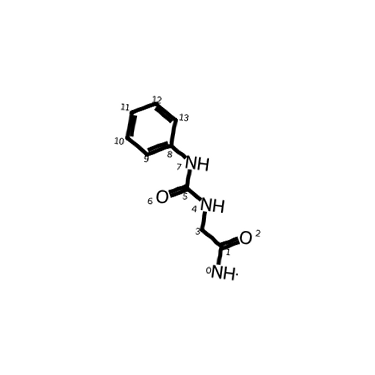 [NH]C(=O)CNC(=O)Nc1ccccc1